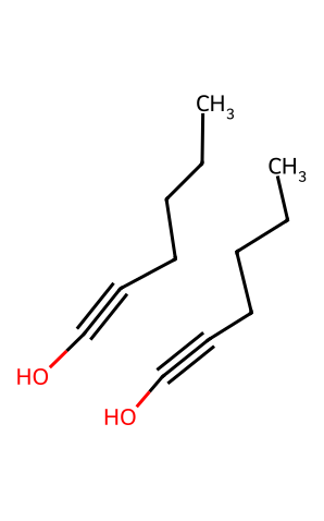 CCCCC#CO.CCCCC#CO